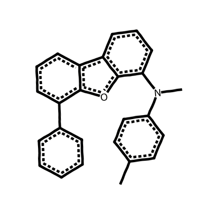 Cc1ccc(N(C)c2cccc3c2oc2c(-c4ccccc4)cccc23)cc1